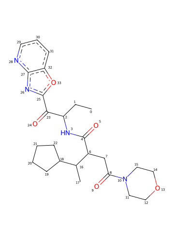 CCC(NC(=O)C(CC(=O)N1CCOCC1)C(C)C1CCCC1)C(=O)c1nc2ncccc2o1